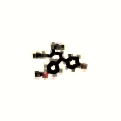 CCCCCCCCCCC[C](CCCCCCCC)CC(c1ccc(Br)cc1)c1ccc(OCC)cc1